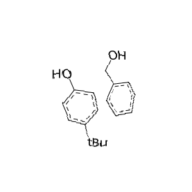 CC(C)(C)c1ccc(O)cc1.OCc1ccccc1